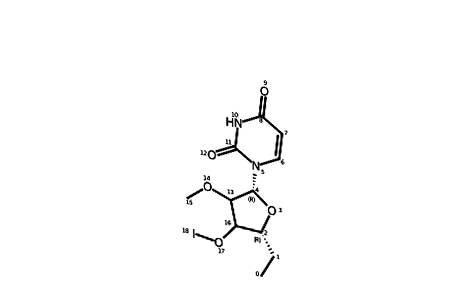 CC[C@H]1O[C@@H](n2ccc(=O)[nH]c2=O)C(OC)C1OI